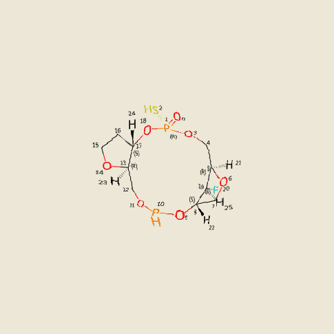 O=[P@@]1(S)OC[C@H]2OC[C@H](OPOC[C@H]3OCC[C@@H]3O1)[C@@H]2F